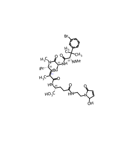 CN[C@H](C(=O)N[C@H](C(=O)N(C)[C@H](/C=C(\C)C(=O)N[C@H](CCC(=O)NCCN1C(=O)C=CC1O)C(=O)O)C(C)C)C(C)(C)C)C(C)(C)c1cccc(Br)c1